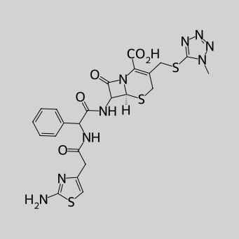 Cn1nnnc1SCC1=C(C(=O)O)N2C(=O)C(NC(=O)C(NC(=O)Cc3csc(N)n3)c3ccccc3)[C@@H]2SC1